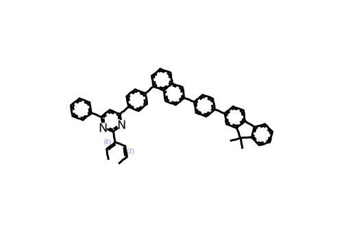 C/C=C\C(=C/C)c1nc(-c2ccccc2)cc(-c2ccc(-c3cccc4cc(-c5ccc(-c6ccc7c(c6)C(C)(C)c6ccccc6-7)cc5)ccc34)cc2)n1